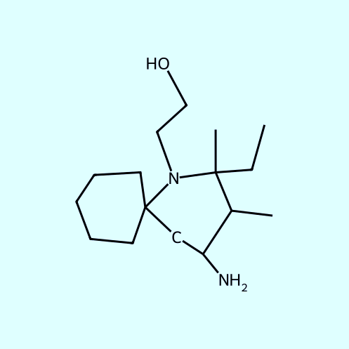 CCC1(C)C(C)C(N)CC2(CCCCC2)N1CCO